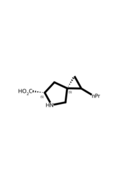 CCCC1C[C@@]12CN[C@H](C(=O)O)C2